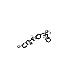 C[N+](C)(Cc1ccc(NC(=O)c2cc3cc(Cl)ccc3[nH]2)cc1)CC1CC2CCC1C2